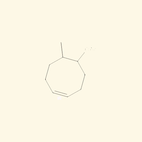 CC(=O)OC1CC/C=C\CCC1C